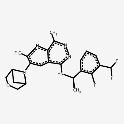 Cc1nnc(N[C@H](C)c2cccc(C(F)F)c2F)c2cc(N3C4COCC3C4)c(C(F)(F)F)nc12